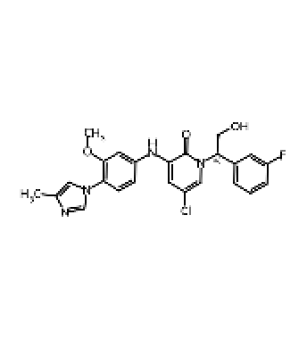 COc1cc(Nc2cc(Cl)cn([C@@H](CO)c3cccc(F)c3)c2=O)ccc1-n1cnc(C)c1